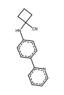 N#CC1(Nc2ccc(-c3ccccn3)cc2)CCC1